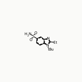 CCc1nc2cc(S(N)(=O)=O)ccc2n1C(C)(C)C